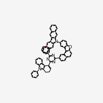 C1=C(c2nc(-c3ccccc3)nc(-c3ccc4ccc5oc6ccc(-n7c8cc9ccccc9cc8c8cc9ccccc9cc87)cc6c5c4c3)n2)c2c(n(-c3ccccc3)c3ccccc23)CC1